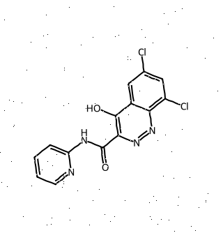 O=C(Nc1ccccn1)c1nnc2c(Cl)cc(Cl)cc2c1O